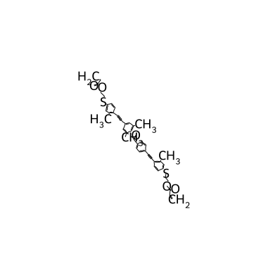 C=CC(=O)OCCSc1ccc(C#Cc2ccc(COc3c(C)cc(C#Cc4ccc(SCCOC(=O)C=C)cc4C)cc3C)cc2)c(C)c1